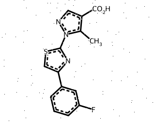 Cc1c(C(=O)O)cnn1-c1nc(-c2cccc(F)c2)cs1